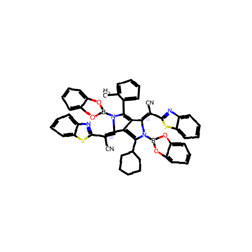 Cc1ccccc1-c1c2/c(=C(\C#N)c3nc4ccccc4s3)n(B3Oc4ccccc4O3)c(C3CCCCC3)c2/c(=C(\C#N)c2nc3ccccc3s2)n1B1Oc2ccccc2O1